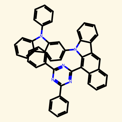 c1ccc(-c2nc(-c3ccccc3)nc(-c3c4ccccc4cc4c5ccccc5n(-c5ccc6c7ccccc7n(-c7ccccc7)c6c5)c34)n2)cc1